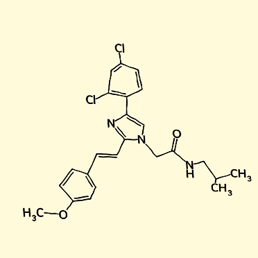 COc1ccc(/C=C/c2nc(-c3ccc(Cl)cc3Cl)cn2CC(=O)NCC(C)C)cc1